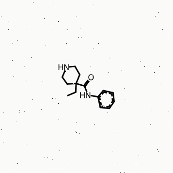 CCC1(C(=O)Nc2ccccc2)CCNCC1